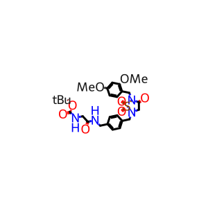 COc1ccc(CN2C(=O)CN(Cc3ccc(CNC(=O)CNC(=O)OC(C)(C)C)cc3)S2(=O)=O)c(OC)c1